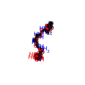 CCN1CCCc2cc3c(-c4ccccc4C(=O)NCCCC(=O)NCCNC(=O)c4cccc(OCC(N=[N+]=[N-])OCCOCC(=O)NCC#Cc5cn(C6CC(OCN=[N+]=[N-])C(COP(=O)(O)OP(=O)(O)OP(=O)(O)O)O6)c(=O)nc5N)c4)c(-c4nc5ccccc5s4)c(=O)oc3cc21